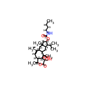 C=C1C2CC3C(C(C)C)C(OC(=O)NCCCC)CC3(C)CC2C(C)=CCC2C(C)OC(=O)C(O)C12O